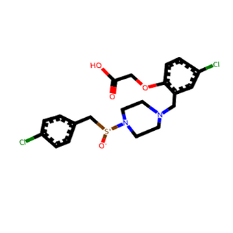 O=C(O)COc1ccc(Cl)cc1CN1CCN([S+]([O-])Cc2ccc(Cl)cc2)CC1